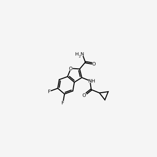 NC(=O)c1oc2cc(F)c(F)cc2c1NC(=O)C1CC1